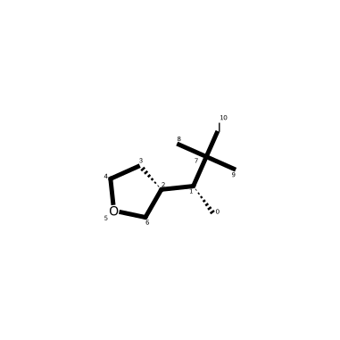 C[C@H]([C@H]1CCOC1)C(C)(C)I